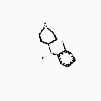 Cl.Clc1ncccc1OC1CCNCC1